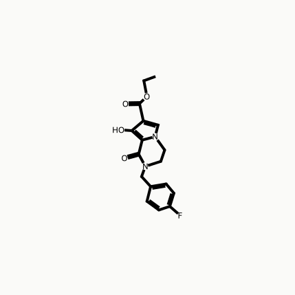 CCOC(=O)c1cn2c(c1O)C(=O)N(Cc1ccc(F)cc1)CC2